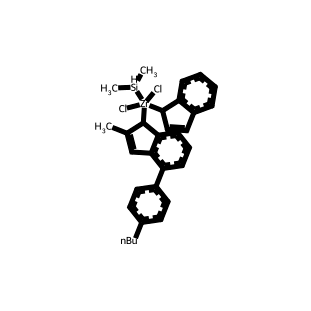 CCCCc1ccc(-c2cccc3c2C=C(C)[CH]3[Zr]([Cl])([Cl])([CH]2C=Cc3ccccc32)[SiH](C)C)cc1